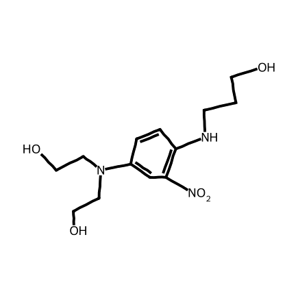 O=[N+]([O-])c1cc(N(CCO)CCO)ccc1NCCCO